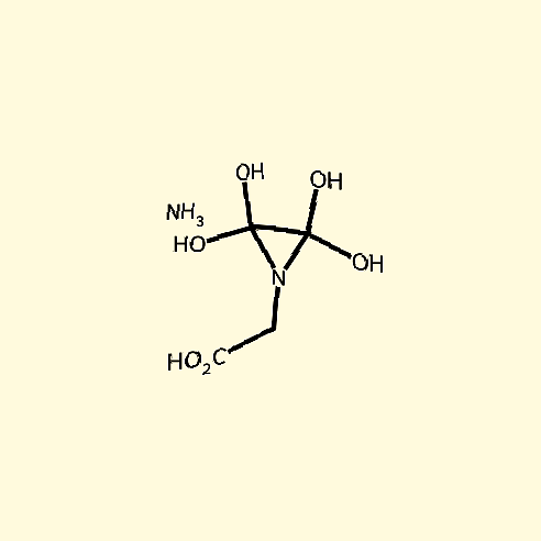 N.O=C(O)CN1C(O)(O)C1(O)O